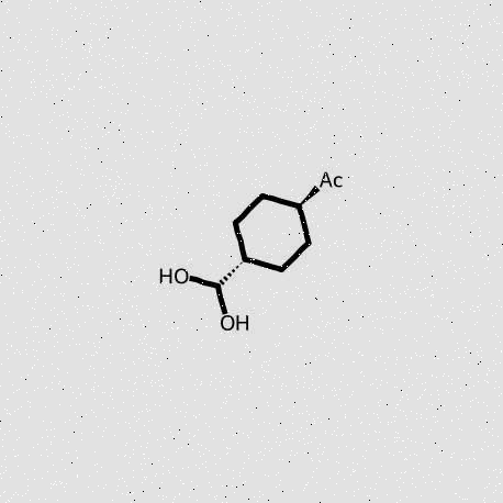 CC(=O)[C@H]1CC[C@H](C(O)O)CC1